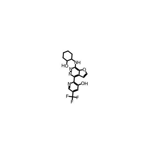 Oc1cc(C(F)(F)F)cnc1-c1nnc(NC2CCCCC2O)c2occc12